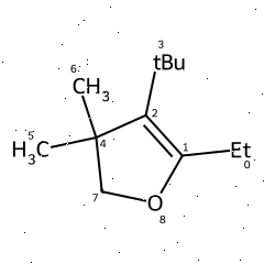 CCC1=C(C(C)(C)C)C(C)(C)CO1